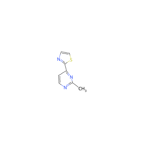 Cc1nccc(-c2nccs2)n1